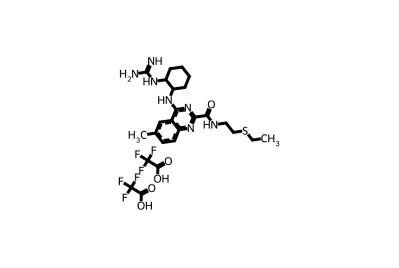 CCSCCNC(=O)c1nc(NC2CCCCC2NC(=N)N)c2cc(C)ccc2n1.O=C(O)C(F)(F)F.O=C(O)C(F)(F)F